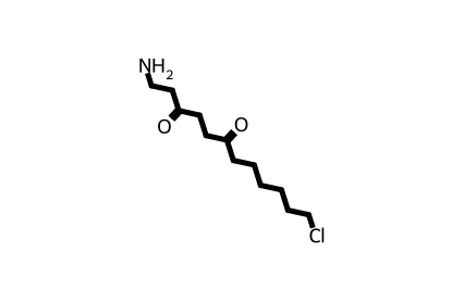 NCCC(=O)CCC(=O)CCCCCCCl